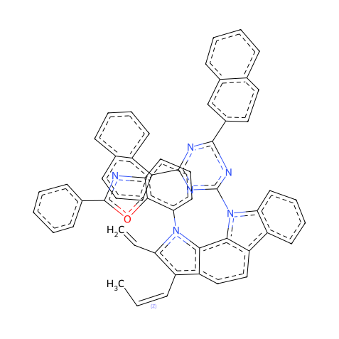 C=Cc1c(/C=C\C)c2ccc3c4ccccc4n(-c4nc(-c5ccc6ccccc6c5)nc(-c5cccc6ccccc56)n4)c3c2n1-c1cccc2nc(-c3ccccc3)oc12